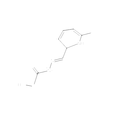 CSC(=S)N/N=C/C1C=CC=C(C)N1